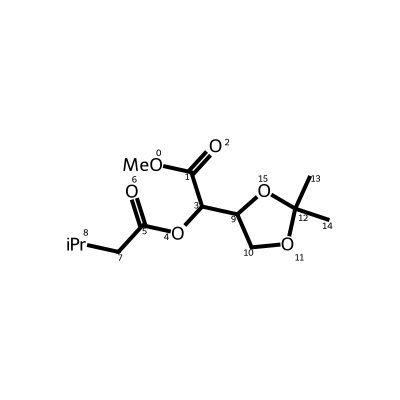 COC(=O)C(OC(=O)CC(C)C)C1COC(C)(C)O1